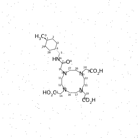 C[C@H]1CC[C@H](CNC(=O)CN2CCN(CC(=O)O)CCN(CC(=O)O)CCN(CC(=O)O)CC2)CC1